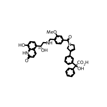 COc1cc(C(=O)N2CC=C(c3cccc([C@](O)(C(=O)O)c4ccccc4)c3)C2)ccc1CNC[C@H](O)c1ccc(O)c2[nH]c(=O)ccc12